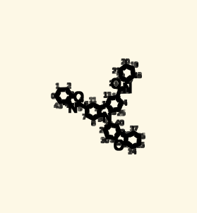 c1ccc2oc(-c3ccc4c(c3)c3cc(-c5nc6ccccc6o5)ccc3n4-c3ccc4oc5ccccc5c4c3)nc2c1